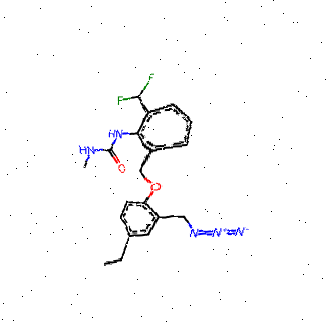 CCc1ccc(OCc2cccc(C(F)F)c2NC(=O)NC)c(CN=[N+]=[N-])c1